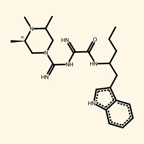 CCCC(Cc1c[nH]c2ccccc12)NC(=O)C(=N)NC(=N)N1CC(C)N(C)[C@H](C)C1